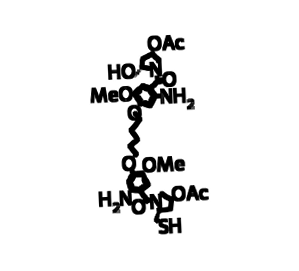 COc1cc(C(=O)N2C[C@H](OC(C)=O)C[C@H]2CO)c(N)cc1OCCCCCOc1cc(N)c(C(=O)N2C[C@H](OC(C)=O)C[C@H]2CS)cc1OC